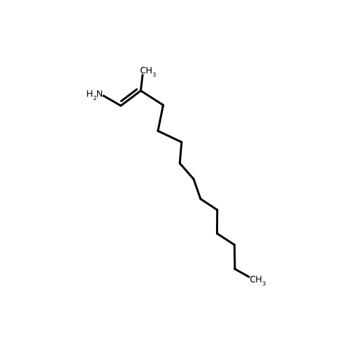 CCCCCCCCCCCC(C)=CN